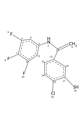 C=C(Nc1cc(F)c(F)c(F)c1)c1ccc(Cl)c(S)c1